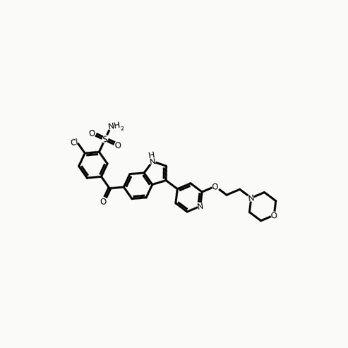 NS(=O)(=O)c1cc(C(=O)c2ccc3c(-c4ccnc(OCCN5CCOCC5)c4)c[nH]c3c2)ccc1Cl